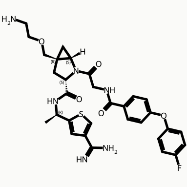 C[C@@H](NC(=O)[C@@H]1C[C@]2(COCCN)C[C@@H]2N1C(=O)CNC(=O)c1ccc(Oc2ccc(F)cc2)cc1)c1cc(C(=N)N)cs1